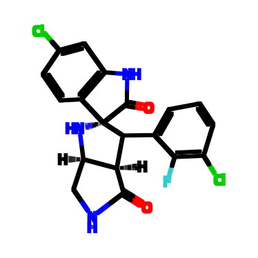 O=C1NC[C@H]2N[C@]3(C(=O)Nc4cc(Cl)ccc43)C(c3cccc(Cl)c3F)[C@@H]12